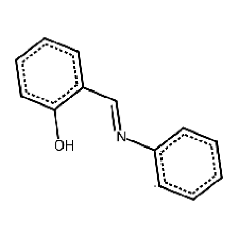 Oc1ccccc1C=Nc1[c]cccc1